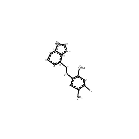 COc1cc(F)c(N)cc1OCc1cccc2[nH]nnc12